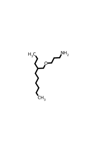 CCCCCCC(CCC)COCCCN